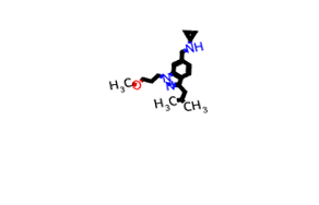 COCCCn1nc(CC(C)C)c2ccc(CNC3CC3)cc21